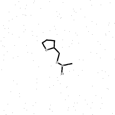 CCN(C)OCC1CCCO1